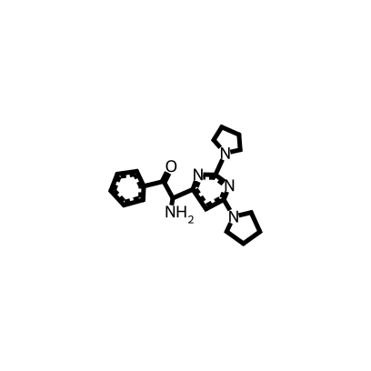 NC(C(=O)c1ccccc1)c1cc(N2CCCC2)nc(N2CCCC2)n1